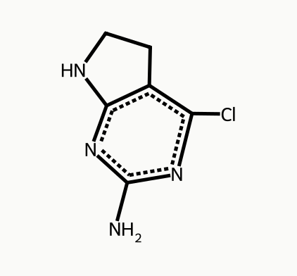 Nc1nc(Cl)c2c(n1)NCC2